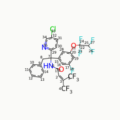 O=C(C=C(C(F)(F)F)C(F)(F)F)NC(Cc1ccccc1)(c1cc(F)cc(OC(F)(F)C(F)F)c1)c1ccc(Cl)cn1